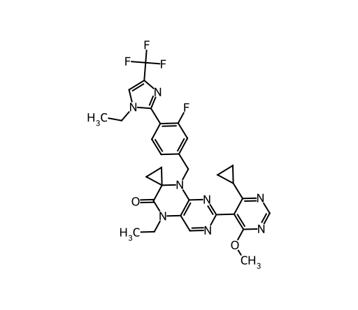 CCN1C(=O)C2(CC2)N(Cc2ccc(-c3nc(C(F)(F)F)cn3CC)c(F)c2)c2nc(-c3c(OC)ncnc3C3CC3)ncc21